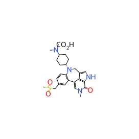 Cn1cc2c3c(c[nH]c3c1=O)CN([C@H]1CC[C@H](N(C)C(=O)O)CC1)c1ccc(CS(C)(=O)=O)cc1-2